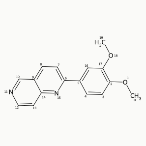 COc1ccc(-c2ccc3cnccc3n2)cc1OC